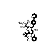 Cc1nocc1C(=O)N[C@@H](Cc1ccccc1)[C@@H](O)C[C@H](Cc1ccc(-c2ccccn2)cc1)NC(=O)[C@@H](N(C)C(=O)O)C(C)(C)C